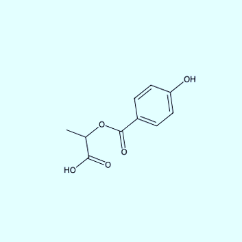 CC(OC(=O)c1ccc(O)cc1)C(=O)O